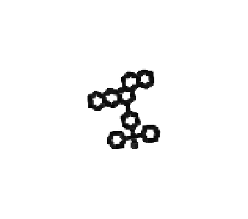 O=P(c1ccccc1)(c1ccccc1)c1ccc(-c2cc3c4ccccc4ccc3c3cc4ccccc4cc23)cc1